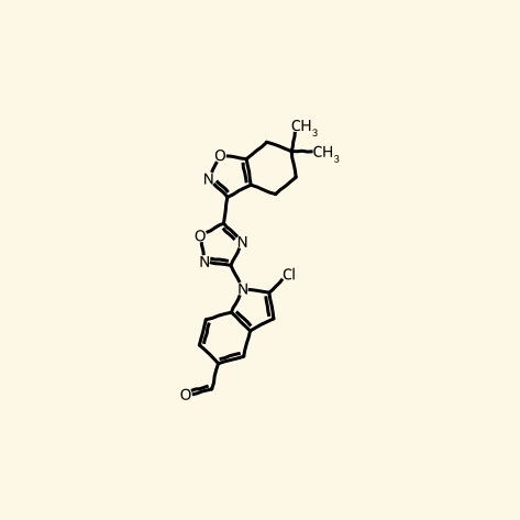 CC1(C)CCc2c(-c3nc(-n4c(Cl)cc5cc(C=O)ccc54)no3)noc2C1